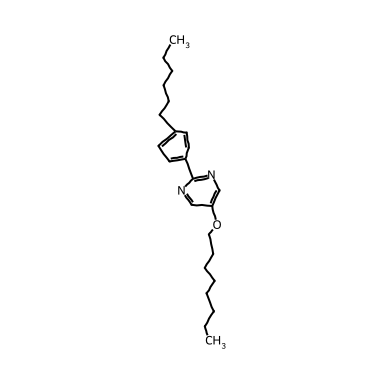 CCCCCCCCOc1cnc(-c2ccc(CCCCCC)cc2)nc1